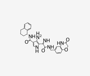 N=C(C(=O)NCc1ccc2c(c1)NC(=O)CO2)c1[nH]cc(C(=O)N[C@@H]2CCCc3ccccc32)c1N